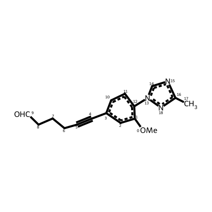 COc1cc(C#CCCCC=O)ccc1-n1cnc(C)n1